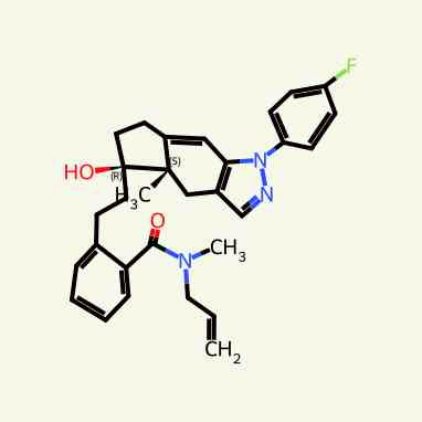 C=CCN(C)C(=O)c1ccccc1CC[C@]1(O)CCC2=Cc3c(cnn3-c3ccc(F)cc3)C[C@@]21C